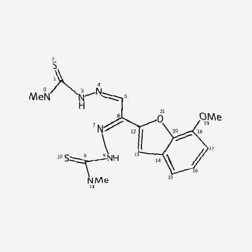 CNC(=S)N/N=C\C(=N\NC(=S)NC)c1cc2cccc(OC)c2o1